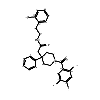 O=C(CC1(c2ccccc2)CCN(C(=O)c2cc(F)c(F)cc2F)CC1)NCCc1ccccc1F